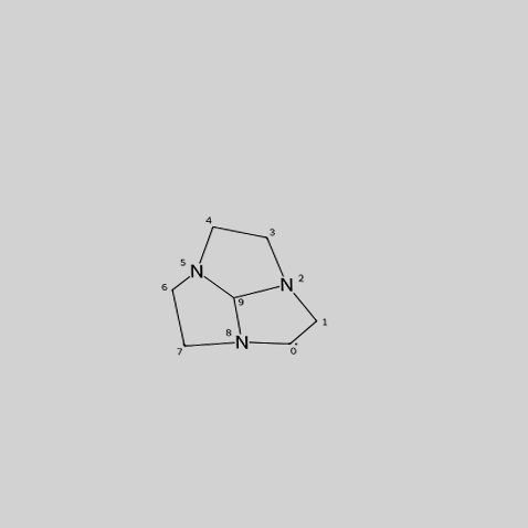 [CH]1CN2CCN3CCN1C23